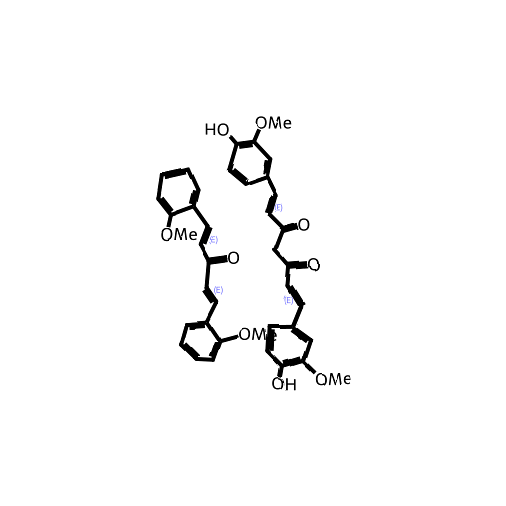 COc1cc(/C=C/C(=O)CC(=O)/C=C/c2ccc(O)c(OC)c2)ccc1O.COc1ccccc1/C=C/C(=O)/C=C/c1ccccc1OC